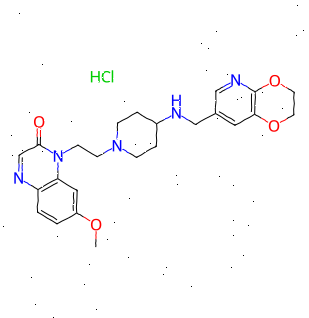 COc1ccc2ncc(=O)n(CCN3CCC(NCc4cnc5c(c4)OCCO5)CC3)c2c1.Cl